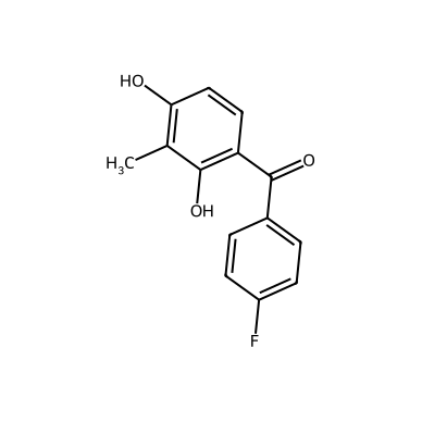 Cc1c(O)ccc(C(=O)c2ccc(F)cc2)c1O